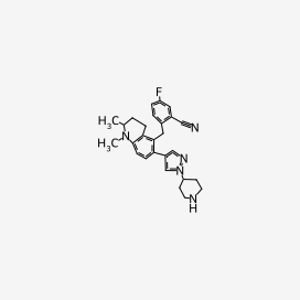 CC1CCc2c(ccc(-c3cnn(C4CCNCC4)c3)c2Cc2ccc(F)cc2C#N)N1C